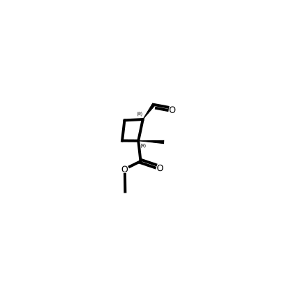 COC(=O)[C@]1(C)CC[C@H]1C=O